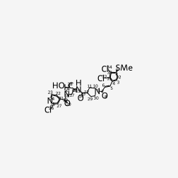 CSc1ccc(C=CC(=O)N2CCC(C(=O)N[C@@H](CNC(=O)c3ccnc(Cl)c3)C(=O)O)CC2)c(Cl)c1Cl